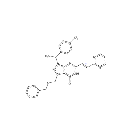 CC(c1ccc(C(F)(F)F)nc1)n1nc(COCc2ccccc2)c2c(=O)[nH]c(/C=C/c3ncccn3)nc21